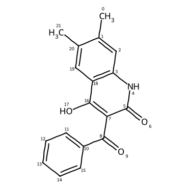 Cc1cc2[nH]c(=O)c(C(=O)c3ccccc3)c(O)c2cc1C